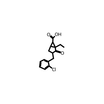 CCC12C(=O)C(Cc3ccccc3Cl)CC1C2C(=O)O